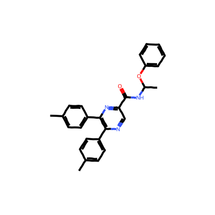 Cc1ccc(-c2ncc(C(=O)NC(C)Oc3ccccc3)nc2-c2ccc(C)cc2)cc1